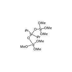 CO[Si](OC)(OC)O[Si](O[Si](OC)(OC)OC)(C(C)C)C(C)C